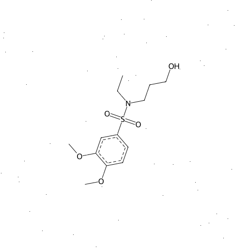 CCN(CCCO)S(=O)(=O)c1ccc(OC)c(OC)c1